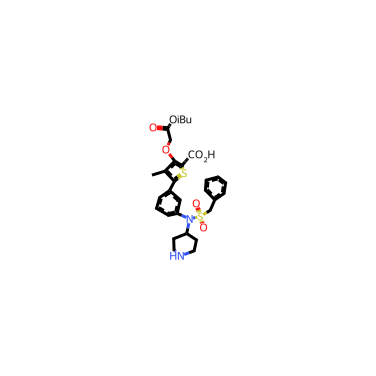 Cc1c(-c2cccc(N(C3CCNCC3)S(=O)(=O)Cc3ccccc3)c2)sc(C(=O)O)c1OCC(=O)OCC(C)C